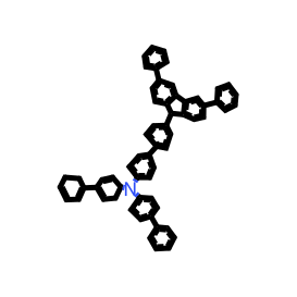 C1=CCCC(C2=CCC(N(c3ccc(-c4ccccc4)cc3)c3ccc(-c4ccc(C5c6ccc(-c7ccccc7)cc6-c6cc(-c7ccccc7)ccc65)cc4)cc3)C=C2)=C1